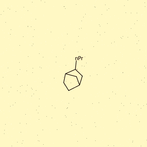 CCC[C]1CC2CCC1C2